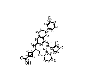 CC[C@@H](N(C)c1nc2c(c(N[C@@H](CN3CCC[C@H](C)C3)c3cnn(C)c3C)n1)C[C@H](c1cccc(F)c1)CC2)C12CC(C(=O)O)(C1)C2